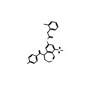 NS(=O)(=O)c1cc(NC(=O)Cc2ccccc2Cl)cc2c1C=NCCC2C(=O)c1ccc(F)cc1